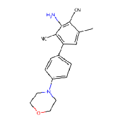 Cc1cc(-c2ccc(N3CCOCC3)cc2)c(C#N)c(N)c1C#N